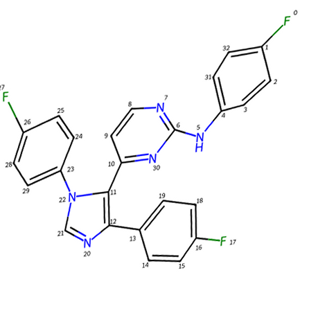 Fc1ccc(Nc2nccc(-c3c(-c4ccc(F)cc4)ncn3-c3ccc(F)cc3)n2)cc1